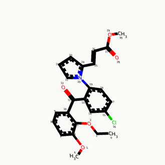 CCOc1c(OC)cccc1C(=O)c1cc(Cl)ccc1-n1cccc1C=CC(=O)OC